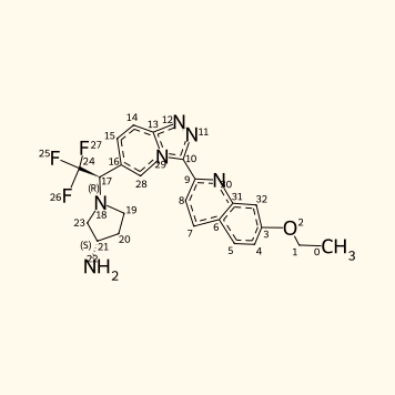 CCOc1ccc2ccc(-c3nnc4ccc([C@@H](N5CC[C@H](N)C5)C(F)(F)F)cn34)nc2c1